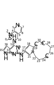 CSN(C)c1cnccc1CNc1nc(Nc2ccc3c(c2)CCCCCCCCCC3)nc2[nH]ccc12